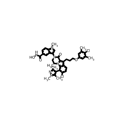 Cc1cc(OCCCc2c3n(c4c(-c5c(C)nn(C)c5C)c(Cl)ccc24)[C@H](C)CN(c2cn(C)c4ccc(C(=O)NO)cc24)C3=O)cc(C)c1Cl